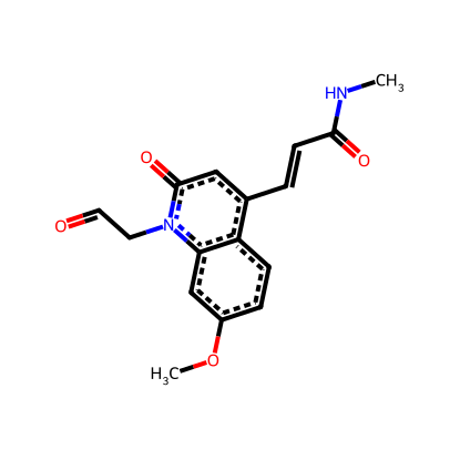 CNC(=O)C=Cc1cc(=O)n(CC=O)c2cc(OC)ccc12